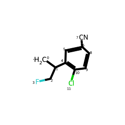 [CH2]C(CF)c1cc(C#N)ccc1Cl